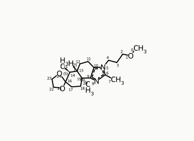 COCCCn1c(C)nc2c1CC[C@H]1[C@H](C)C3(CC[C@]21C)OCCO3